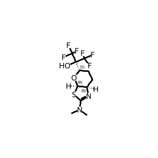 CN(C)C1=N[C@@H]2CC[C@@H](C(O)(C(F)(F)F)C(F)(F)F)O[C@@H]2S1